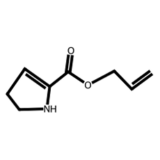 C=CCOC(=O)C1=CCCN1